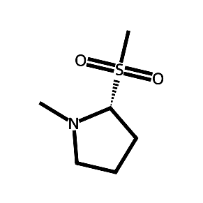 CN1CCC[C@H]1S(C)(=O)=O